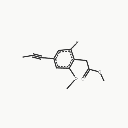 CC#Cc1cc(F)c(CC(=O)OC)c(OC)c1